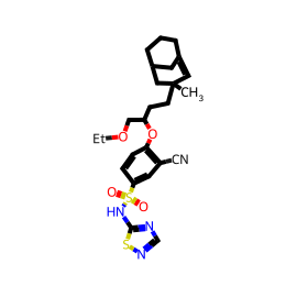 CCOCC(CCC1(C)C=C2CCCC(C2)C1)Oc1ccc(S(=O)(=O)Nc2ncns2)cc1C#N